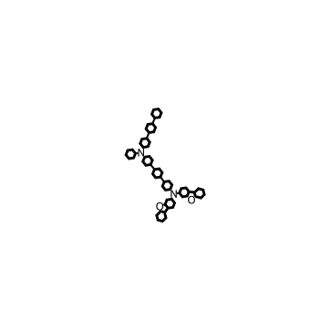 c1ccc(-c2ccc(-c3ccc(N(c4ccccc4)c4ccc(-c5ccc(-c6ccc(N(c7ccc8c(c7)oc7ccccc78)c7ccc8c(c7)oc7ccccc78)cc6)cc5)cc4)cc3)cc2)cc1